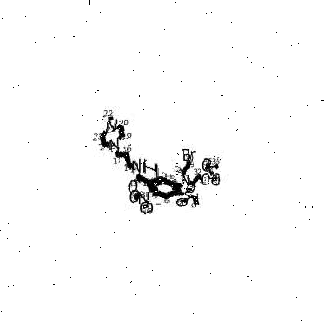 CCS(=O)(=O)c1cc([N+](=O)[O-])c(C(=O)NCCCN2CCN(C)CC2)cc1N(CCBr)CCOS(C)(=O)=O